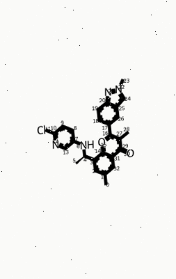 Cc1cc([C@@H](C)Nc2ccc(Cl)nc2)c2oc(-c3ccc4nn(C)cc4c3)c(C)c(=O)c2c1